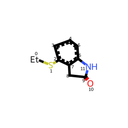 CCSc1cccc2c1CC(=O)N2